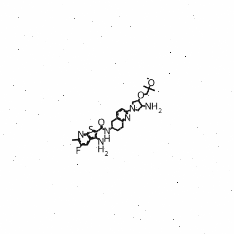 COC(C)(C)COC1CN(c2ccc3c(n2)CCC(NC(=O)c2sc4nc(C)c(F)cc4c2N)C3)CC1N